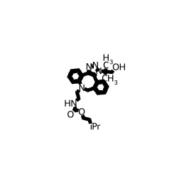 CC(C)CCOC(=O)NCCN1Cc2ccccc2-c2c(nnn2C(C)(C)CO)-c2ccccc21